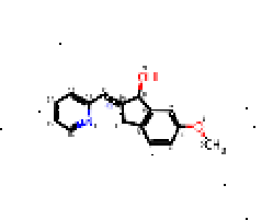 COc1ccc2c(c1)C(O)/C(=C/c1ccccn1)C2